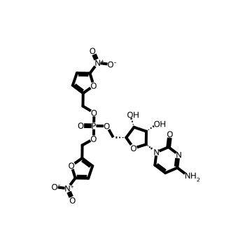 Nc1ccn([C@@H]2O[C@H](COP(=O)(OCc3ccc([N+](=O)[O-])o3)OCc3ccc([N+](=O)[O-])o3)[C@H](O)[C@@H]2O)c(=O)n1